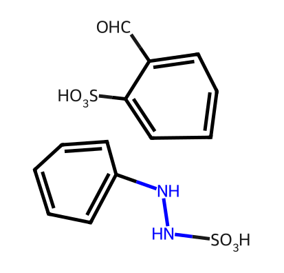 O=Cc1ccccc1S(=O)(=O)O.O=S(=O)(O)NNc1ccccc1